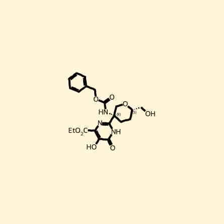 CCOC(=O)c1nc([C@]2(NC(=O)OCc3ccccc3)CC[C@@H](CO)OC2)[nH]c(=O)c1O